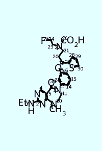 CCNc1ncc2c(n1)N(C)CCN(c1cccc(OC(CCN(CCF)C(=O)O)c3cccs3)c1)C2=O